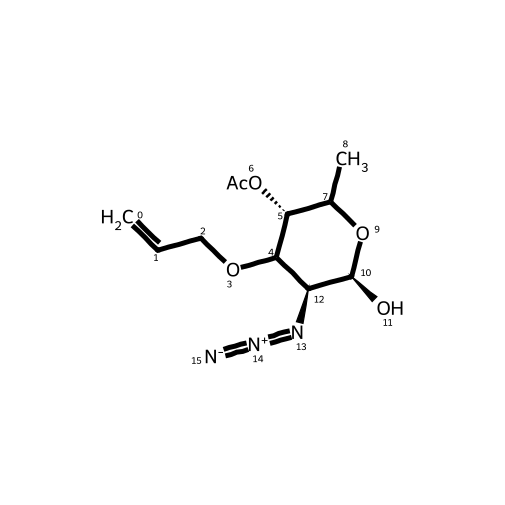 C=CCOC1[C@H](OC(C)=O)C(C)O[C@@H](O)[C@H]1N=[N+]=[N-]